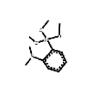 CO[Si](OC)(OC)c1ccccc1N(C)C